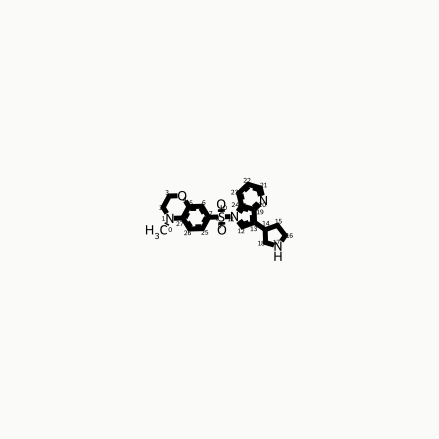 CN1CCOc2cc(S(=O)(=O)n3cc(C4CCNC4)c4ncccc43)ccc21